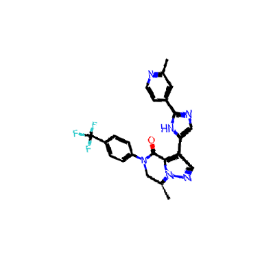 Cc1cc(-c2ncc(-c3cnn4c3C(=O)N(c3ccc(C(F)(F)F)cc3)C[C@@H]4C)[nH]2)ccn1